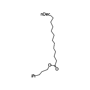 CCCCCCCCCCCCCCCCCCCCCC(=O)OCCCC(C)C